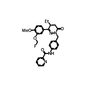 CCC1CC(=O)N(Cc2ccc(NC(=O)c3ccccn3)cc2)N=C1c1ccc(OC)c(OCF)c1